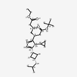 CCOC(=O)CNC[C@@H](CC(=O)OC(C)(C)C)c1nnc([C@H]2C[C@@H](CC(C)C)C2)n1C1CC1